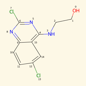 OCCNc1nc(Cl)nc2ccc(Cl)cc12